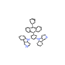 c1ccc(-c2c3ccccc3c(-c3cc(-n4c5ccccc5c5cnccc54)cc(-n4c5ccccc5c5cnccc54)c3)c3ccccc23)cc1